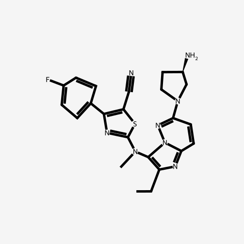 CCc1nc2ccc(N3CC[C@@H](N)C3)nn2c1N(C)c1nc(-c2ccc(F)cc2)c(C#N)s1